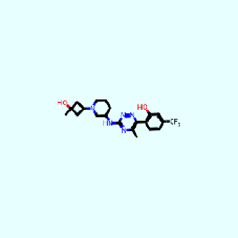 Cc1nc(NC2CCCN(C3CC(C)(O)C3)C2)nnc1-c1ccc(C(F)(F)F)cc1O